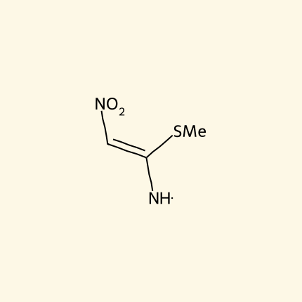 CS/C([NH])=C\[N+](=O)[O-]